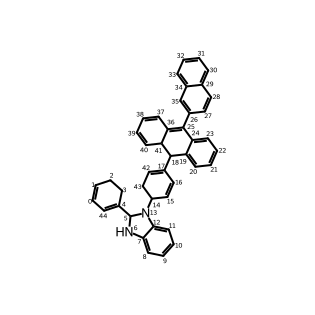 C1=CCCC(C2Nc3ccccc3N2C2C=CC(C3c4ccccc4C(c4ccc5ccccc5c4)=C4C=CC=CC43)=CC2)=C1